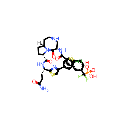 NC(=O)CC[C@H](NC(=O)[C@@H]1CC[C@@H]2CCNC[C@H](NC(=O)c3cc4cc(C(F)(F)P(=O)(O)O)ccc4s3)C(=O)N21)c1nc(-c2ccc(Cl)cc2)cs1